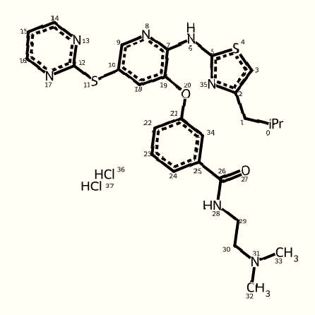 CC(C)Cc1csc(Nc2ncc(Sc3ncccn3)cc2Oc2cccc(C(=O)NCCN(C)C)c2)n1.Cl.Cl